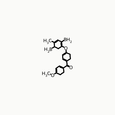 BC1=C(OC2=CC=C(C(=O)C3=CC=C(OC)CC3)CC2)CC(B)C(C)=C1